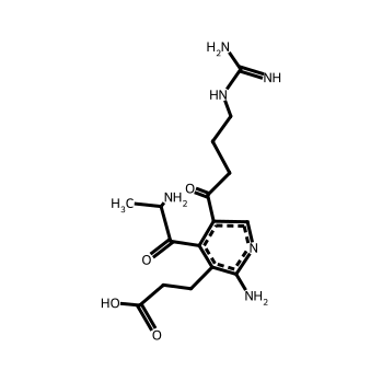 CC(N)C(=O)c1c(C(=O)CCCNC(=N)N)cnc(N)c1CCC(=O)O